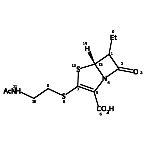 CCC1C(=O)N2C(C(=O)O)=C(SCCNC(C)=O)S[C@H]12